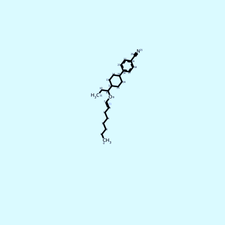 CCCCCC/C=C/OC(CC)C1CCC(c2ccc(C#N)cc2)CC1